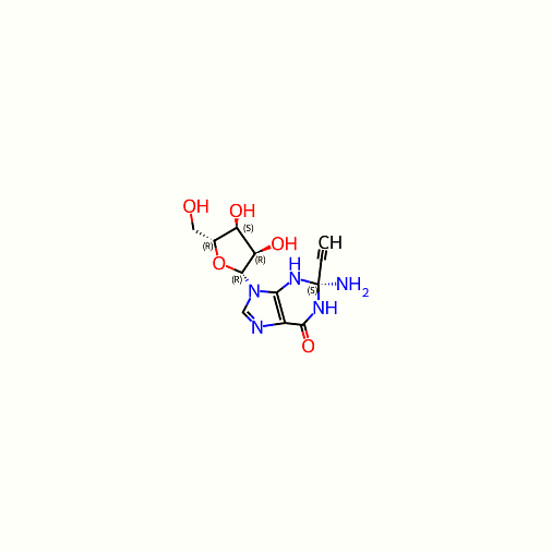 C#C[C@@]1(N)NC(=O)c2ncn([C@@H]3O[C@H](CO)[C@@H](O)[C@H]3O)c2N1